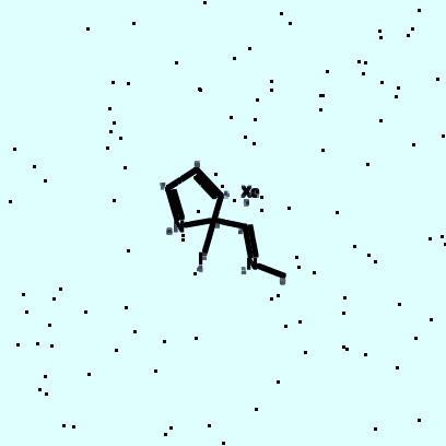 CN=CC1(F)C=CC=N1.[Xe]